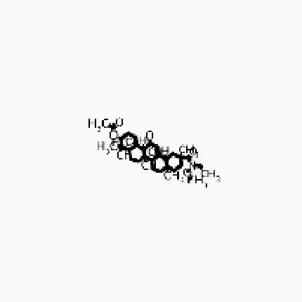 CCN(OC)C(=O)[C@@]1(C)CC[C@]2(C)CC[C@]3(C)C(=CC(=O)[C@@H]4[C@@]5(C)CC[C@H](OC(C)=O)C(C)(C)C5CC[C@]43C)[C@@H]2C1